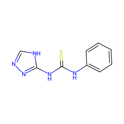 S=C(Nc1ccccc1)Nc1nnc[nH]1